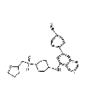 N#Cc1ccc(-c2cc(NC3CCN(S(=O)(=O)CC4CCCO4)CC3)c3cnccc3c2)cc1